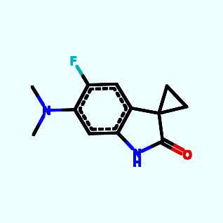 CN(C)c1cc2c(cc1F)C1(CC1)C(=O)N2